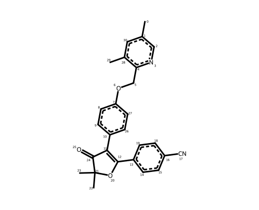 Cc1cnc(COc2ccc(C3=C(c4ccc(C#N)cc4)OC(C)(C)C3=O)cc2)c(C)c1